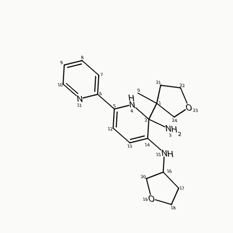 CC1(C2(N)NC(c3ccccn3)=CC=C2NC2CCOC2)CCOC1